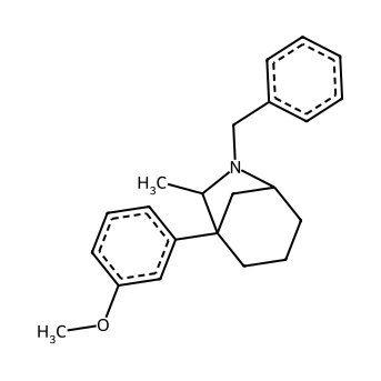 COc1cccc(C23CCCC(C2)N(Cc2ccccc2)C3C)c1